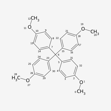 COc1ccc(C(c2ccc(OC)cc2)(c2ccc(OC)cc2)c2ccc(OC)cc2)cc1